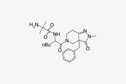 CCCCC(NS(=O)(=O)C(C)(C)N)C(=O)N1CCC2=NN(C)C(=O)C2(Cc2ccccc2)C1